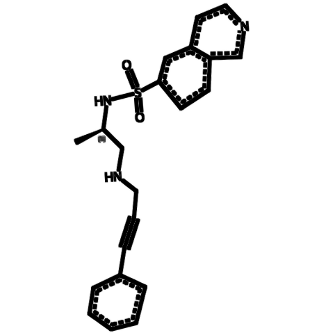 C[C@H](CNCC#Cc1ccccc1)NS(=O)(=O)c1ccc2cnccc2c1